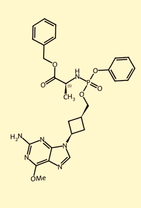 COc1nc(N)nc2c1ncn2[C@H]1C[C@@H](COP(=O)(N[C@@H](C)C(=O)OCc2ccccc2)Oc2ccccc2)C1